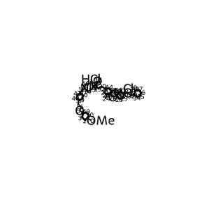 COc1ccc(OCCc2ccc(CN3CCN(C(=O)C=Cc4cc(C)c(Oc5ccc(OCc6ccccc6Cl)cn5)c(C)c4)CC3)cc2)cc1.Cl